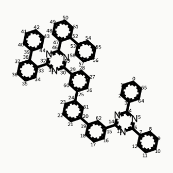 c1ccc(-c2nc(-c3ccccc3)nc(-c3cccc(-c4cccc(-c5cccc(-c6nc(-c7ccccc7-c7ccccc7)nc(-c7ccccc7-c7ccccc7)n6)c5)c4)c3)n2)cc1